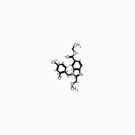 CCOC(=O)c1ccc2nc(COC)n(Cc3ccc(Cl)cc3Cl)c2c1